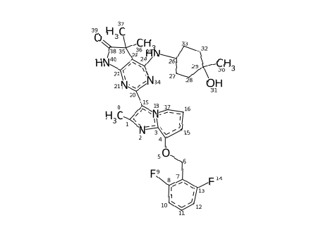 Cc1nc2c(OCc3c(F)cccc3F)cccn2c1-c1nc2c(c(NC3CCC(C)(O)CC3)n1)C(C)(C)C(=O)N2